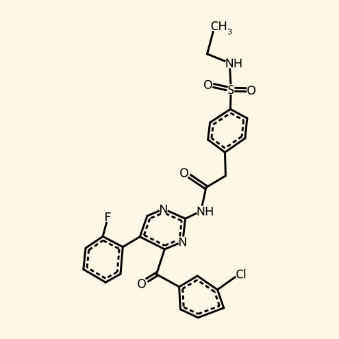 CCNS(=O)(=O)c1ccc(CC(=O)Nc2ncc(-c3ccccc3F)c(C(=O)c3cccc(Cl)c3)n2)cc1